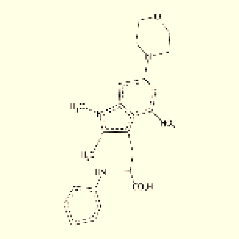 Cc1c(CC(Nc2ccccc2)C(=O)O)c2c([N+](=O)[O-])cc(N3CCOCC3)cc2n1C